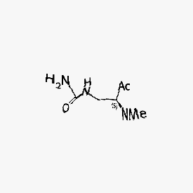 CN[C@@H](CNC(N)=O)C(C)=O